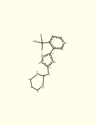 FC(F)(F)c1ccncc1-c1nc(CC2OCCCO2)no1